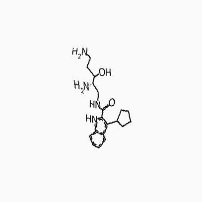 NCCC(O)[C@@H](N)CNC(=O)c1[nH]c2ccccc2c1C1CCCC1